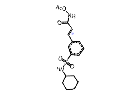 CC(=O)ONC(=O)/C=C/c1cccc(S(=O)(=O)NC2CCCCC2)c1